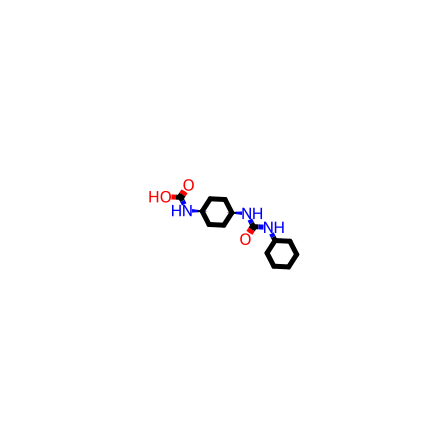 O=C(O)N[C@H]1CC[C@@H](NC(=O)NC2CCCCC2)CC1